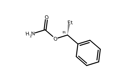 CC[C@@H](OC(N)=O)c1ccccc1